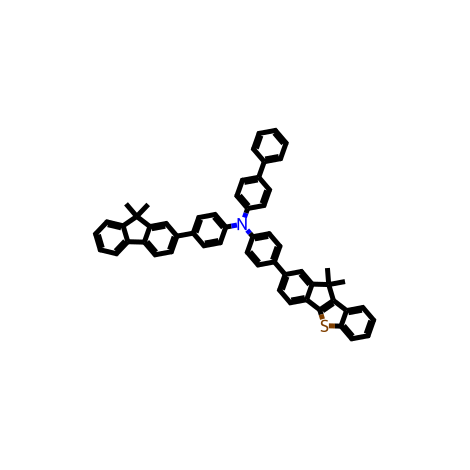 CC1(C)c2ccccc2-c2ccc(-c3ccc(N(c4ccc(-c5ccccc5)cc4)c4ccc(-c5ccc6c(c5)C(C)(C)c5c-6sc6ccccc56)cc4)cc3)cc21